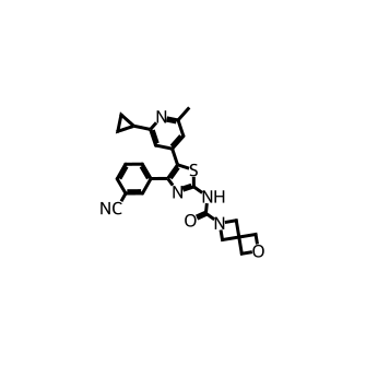 Cc1cc(-c2sc(NC(=O)N3CC4(COC4)C3)nc2-c2cccc(C#N)c2)cc(C2CC2)n1